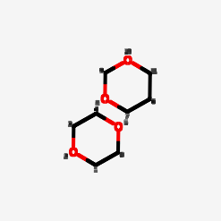 C1COCCO1.C1COCOC1